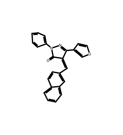 O=C1/C(=C\c2ccc3ccccc3c2)C(c2ccoc2)=NN1c1ccccc1